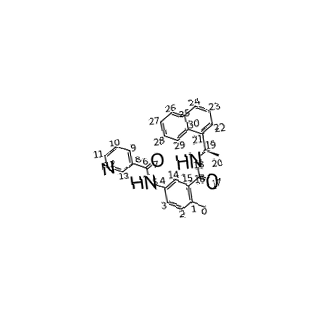 Cc1ccc(NC(=O)c2cccnc2)cc1C(=O)N[C@H](C)c1cccc2ccccc12